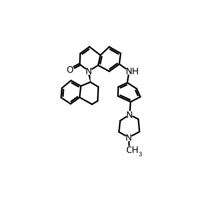 CN1CCN(c2ccc(Nc3ccc4ccc(=O)n([C@H]5CCCc6ccccc65)c4c3)cc2)CC1